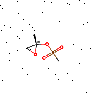 C[C@]1(OS(C)(=O)=O)CO1